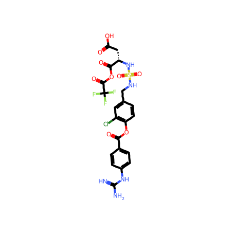 N=C(N)Nc1ccc(C(=O)Oc2ccc(CNS(=O)(=O)N[C@@H](CC(=O)O)C(=O)OC(=O)C(F)(F)F)cc2Cl)cc1